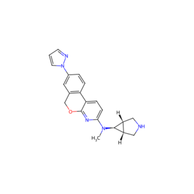 CN(c1ccc2c(n1)OCc1cc(-n3cccn3)ccc1-2)[C@H]1[C@@H]2CNC[C@@H]21